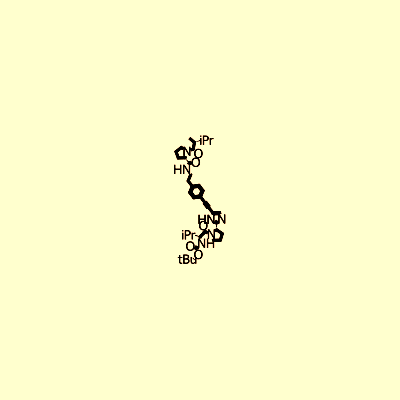 CC(C)[C@@H](C)C(=O)N1CCC[C@H]1C(=O)NCCc1ccc(C#Cc2cnc([C@@H]3CCCN3C(=O)[C@H](NC(=O)OC(C)(C)C)C(C)C)[nH]2)cc1